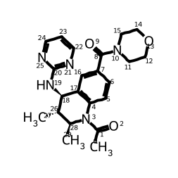 CC(=O)N1c2ccc(C(=O)N3CCOCC3)cc2[C@H](Nc2ncccn2)[C@@H](C)[C@@H]1C